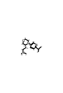 CC(C)c1ccc(N2CCOC[C@@H]2CCN(C)C)cn1